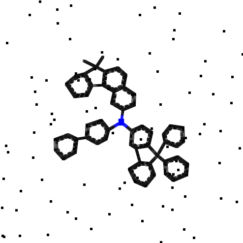 CC1(C)c2ccccc2-c2c1ccc1ccc(N(c3ccc(-c4ccccc4)cc3)c3ccc4c(c3)-c3ccccc3C4(c3ccccc3)c3ccccc3)cc21